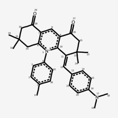 Cc1ccc(-[n+]2c3c(cc4c2C(=Cc2ccc(N(C)C)cc2)C(C)(C)CC4=O)C(=O)CC(C)(C)C3)cc1